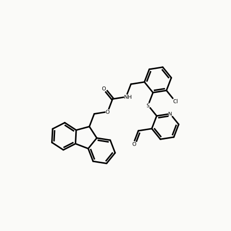 O=Cc1cccnc1Sc1c(Cl)cccc1CNC(=O)OCC1c2ccccc2-c2ccccc21